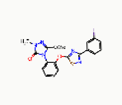 COc1nn(C)c(=O)n1-c1ccccc1Oc1nc(-c2cccc(I)c2)ns1